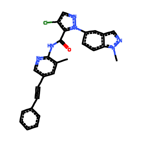 Cc1cc(C#Cc2ccccc2)cnc1NC(=O)c1c(Cl)cnn1-c1ccc2c(cnn2C)c1